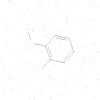 CCCSc1[c]cccc1Br